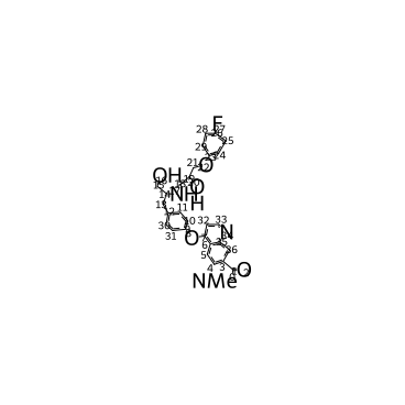 CNC(=O)c1ccc2c(Oc3ccc(C[C@@H](CO)NC[C@H](O)COc4ccc(F)cc4)cc3)ccnc2c1